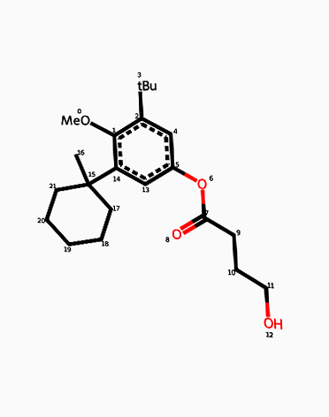 COc1c(C(C)(C)C)cc(OC(=O)CCCO)cc1C1(C)CCCCC1